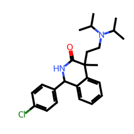 CC(C)N(CCC1(C)C(=O)NC(c2ccc(Cl)cc2)c2ccccc21)C(C)C